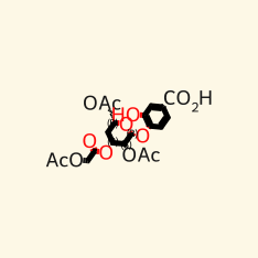 CC(=O)OCC(=O)O[C@@H]1C[C@H](COC(C)=O)O[C@H](Oc2ccc(C(=O)O)cc2O)[C@H]1OC(C)=O